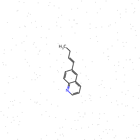 CC/C=C/c1ccc2ncccc2c1